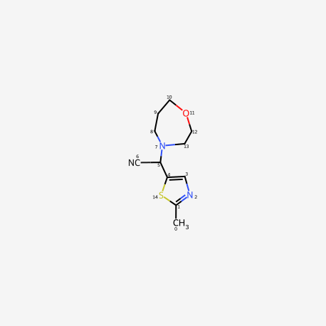 Cc1ncc(C(C#N)N2CCCOCC2)s1